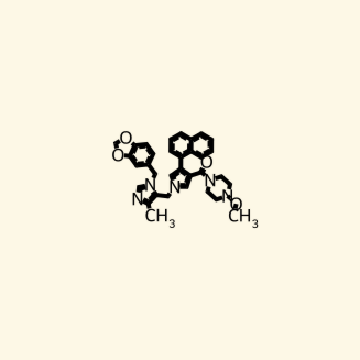 CON1CCN(C(=O)c2cn(Cc3c(C)ncn3Cc3ccc4c(c3)OCO4)cc2-c2cccc3ccccc23)CC1